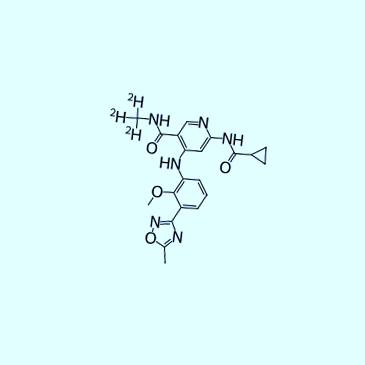 [2H]C([2H])([2H])NC(=O)c1cnc(NC(=O)C2CC2)cc1Nc1cccc(-c2noc(C)n2)c1OC